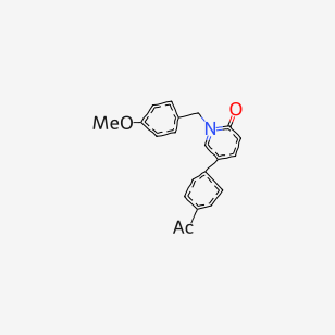 COc1ccc(Cn2cc(-c3ccc(C(C)=O)cc3)ccc2=O)cc1